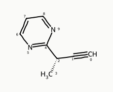 C#C[C@H](C)c1ncccn1